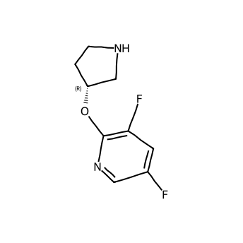 Fc1cnc(O[C@@H]2CCNC2)c(F)c1